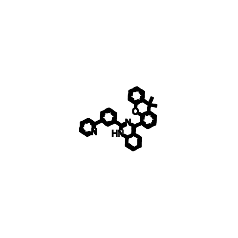 CC1(C)c2ccccc2Oc2c(C3=C4C=CC=CC4NC(c4cccc(-c5ccccn5)c4)=N3)cccc21